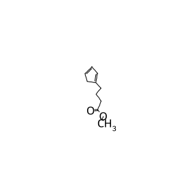 COC(=O)CCCC1=CC=CC1